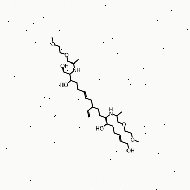 C=CC(C/C=C/CCC(O)C(CO)NC(C)COCCOC)CCC(NC(C)COCCOC)C(O)CC/C=C/CO